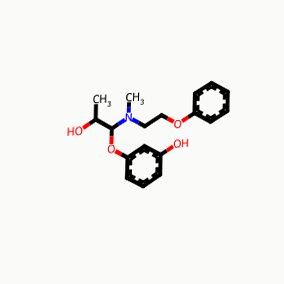 CC(O)C(Oc1cccc(O)c1)N(C)CCOc1ccccc1